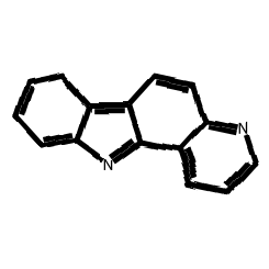 C1=CCC2=c3ccc4ncccc4c3=NC2=C1